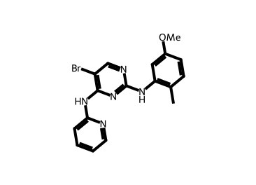 COc1ccc(C)c(Nc2ncc(Br)c(Nc3ccccn3)n2)c1